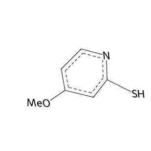 COc1ccnc(S)c1